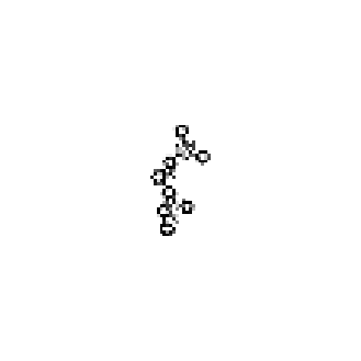 c1ccc(-c2nc(-c3ccccc3)nc(-c3ccc4c(c3)sc3c(-c5ccc6c(c5)c5ccc7c8ccccc8sc7c5n6-c5ccccc5)cccc34)n2)cc1